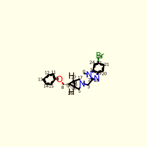 Cn1c(CN2C[C@@H]3[C@H](COc4ccccc4)[C@@H]3C2)nc2ccc(Br)cc21